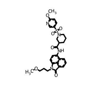 COCCCN1C(=O)c2cccc3c(NC(=O)C4CCCN(S(=O)(=O)c5ccc(OC)nc5)C4)ccc1c23